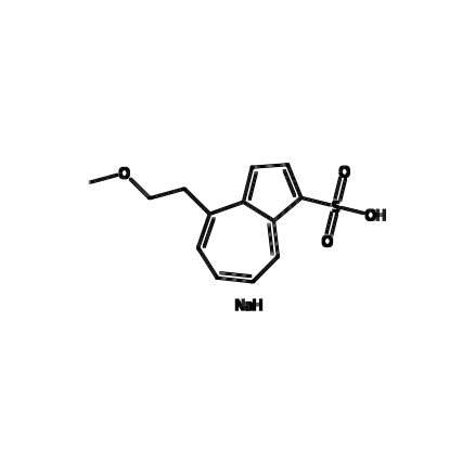 COCCc1ccccc2c(S(=O)(=O)O)ccc1-2.[NaH]